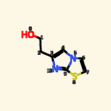 OCCc1cn2ccsc2n1